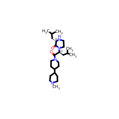 CC(C)C[C@@H]1NCCN([C@@H](CC(C)C)C(=O)N2CCC(C3CCN(C)CC3)CC2)C1=O